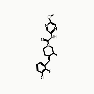 COc1cnc(NC(=O)N2CCC(=Cc3cccc(Cl)c3F)C(C)C2)cn1